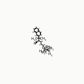 CC(C)(c1ccc2ccccc2c1)C(C#N)CCCO[Si](C)(C)C(C)(C)C